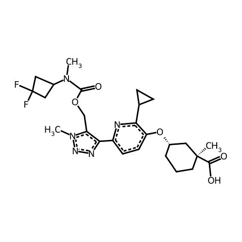 CN(C(=O)OCc1c(-c2ccc(O[C@H]3CCC[C@](C)(C(=O)O)C3)c(C3CC3)n2)nnn1C)C1CC(F)(F)C1